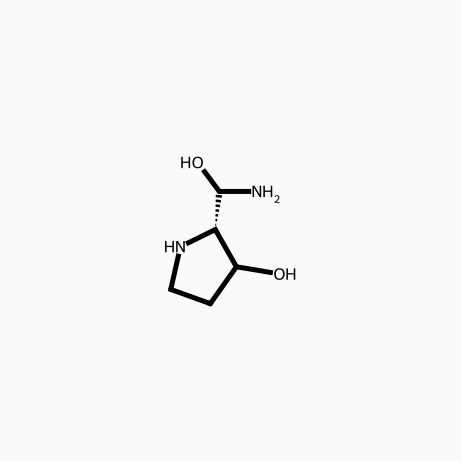 NC(O)[C@H]1NCCC1O